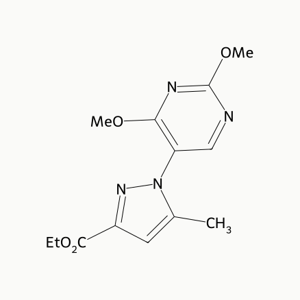 CCOC(=O)c1cc(C)n(-c2cnc(OC)nc2OC)n1